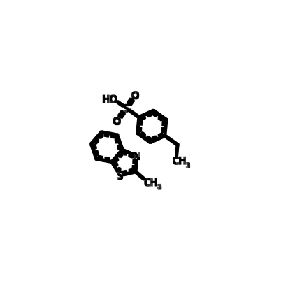 CCc1ccc(S(=O)(=O)O)cc1.Cc1nc2ccccc2s1